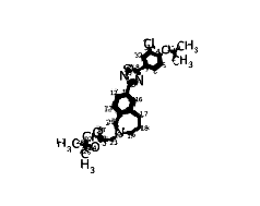 CC(C)Oc1ccc(-c2nc(-c3ccc4c(c3)CCCN(CC(=O)OC(C)(C)C)C4)no2)cc1Cl